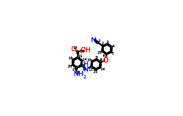 N#Cc1cccc(Oc2ccc(Nc3cc(C(=O)O)ccc3N)cc2)c1